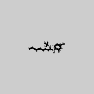 CCCCCCCC(Nc1ccc(Br)cc1C)OC(C)(C)C